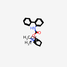 C[N+](C)(C)C1C2CCC1C(OC(=O)Nc1ccccc1-c1ccccc1)C2